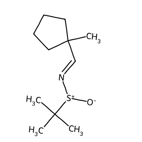 CC1(C=N[S+]([O-])C(C)(C)C)CCCC1